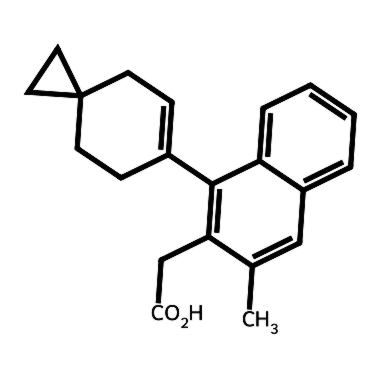 Cc1cc2ccccc2c(C2=CCC3(CC2)CC3)c1CC(=O)O